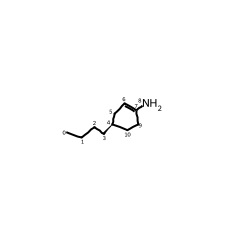 CCCC[C@H]1CC=C(N)CC1